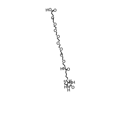 O=C(O)CCOCCOCCOCCOCCOCCOCCOCCOCCNC(=O)CCCC[C@@H]1SC[C@@H]2NC(=O)N[C@@H]21